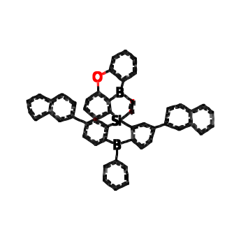 c1ccc(B2c3ccc(-c4ccc5ccccc5c4)cc3[Si]3(c4cc(-c5ccc6ccccc6c5)ccc42)c2ccccc2B2c4ccccc4Oc4cccc3c42)cc1